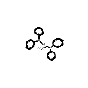 CCP(c1ccccc1)c1ccccc1.[Ni][P](c1ccccc1)c1ccccc1